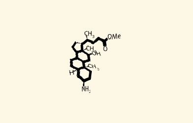 COC(=O)CC[C@@H](C)[C@H]1CCC2C3CC[C@@H]4C[C@H](N)CC[C@]4(C)C3C[C@H](O)[C@@]21C